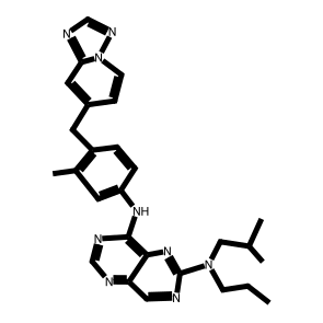 CCCN(CC(C)C)c1ncc2ncnc(Nc3ccc(Cc4ccn5ncnc5c4)c(C)c3)c2n1